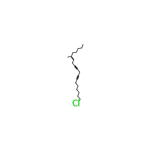 CCCCCC(C)=CCC#CCC#CCCCCCCCl